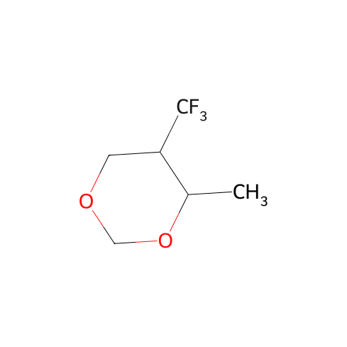 CC1OCOCC1C(F)(F)F